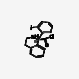 O=C(Cl)[C@]1(c2ccccc2I)NCCc2ccccc21